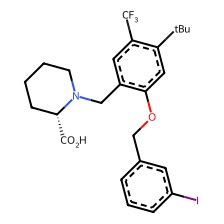 CC(C)(C)c1cc(OCc2cccc(I)c2)c(CN2CCCC[C@H]2C(=O)O)cc1C(F)(F)F